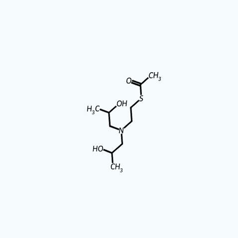 CC(=O)SCCN(CC(C)O)CC(C)O